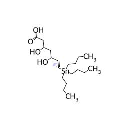 CCC[CH2][Sn](/[CH]=C/C(O)CC(O)CC(=O)O)([CH2]CCC)[CH2]CCC